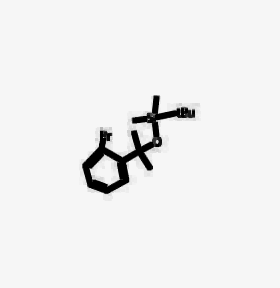 CC(C)(O[Si](C)(C)C(C)(C)C)c1ccccc1Br